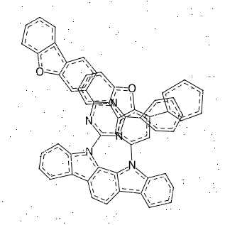 c1ccc(-c2nc(-c3ccc4c(c3)oc3ccccc34)nc(-n3c4ccccc4c4ccc5c6ccccc6n(-c6cc(-c7ccccc7)c7oc8ccccc8c7c6)c5c43)n2)cc1